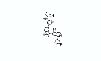 CCC(O)Nc1cncc(-c2ccc3[nH]nc(-c4cc5c(-c6cccc(F)c6)nccc5[nH]4)c3c2)c1